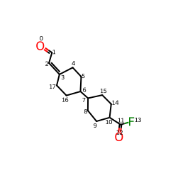 O=CC=C1CCC(C2CCC(C(=O)F)CC2)CC1